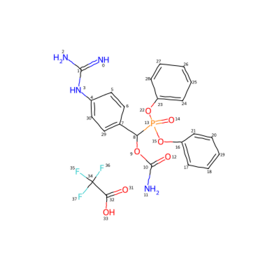 N=C(N)Nc1ccc(C(OC(N)=O)P(=O)(Oc2ccccc2)Oc2ccccc2)cc1.O=C(O)C(F)(F)F